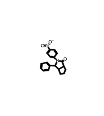 O=C1C2CCCC2C(c2ccccc2)N1c1ccc([N+](=O)[O-])cc1